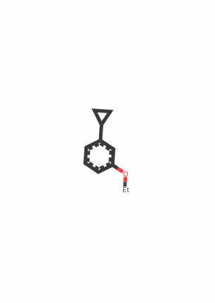 CCOc1[c]ccc(C2CC2)c1